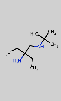 CCC(N)(CC)CNC(C)(C)C